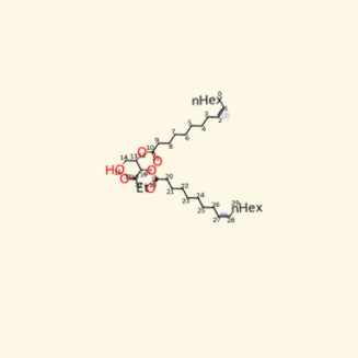 CCCCCC/C=C\CCCCCCCC(=O)OC(CO)C(OC(=O)CCCCCCC/C=C\CCCCCC)C(=O)CC